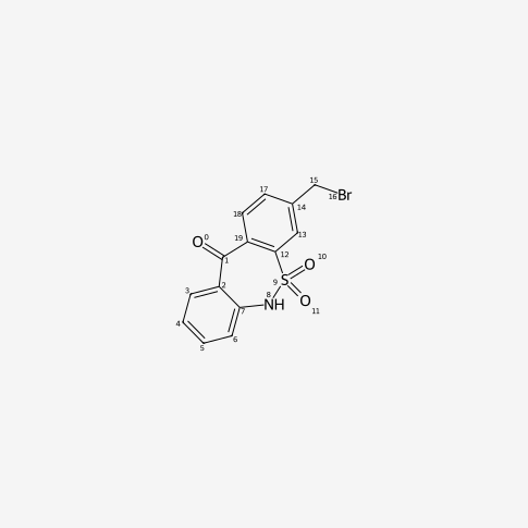 O=C1c2ccccc2NS(=O)(=O)c2cc(CBr)ccc21